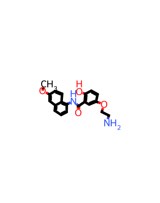 COc1ccc2c(NC(=O)c3cc(OCCN)ccc3O)cccc2c1